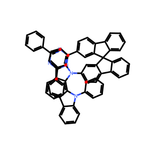 c1ccc(-c2nc(-c3ccccc3)nc(-c3ccc4c(c3)C3(c5ccccc5-4)c4ccccc4-c4ccc(-n5c6ccccc6c6ccc7c8ccccc8n(-c8ccccc8)c7c65)cc43)n2)cc1